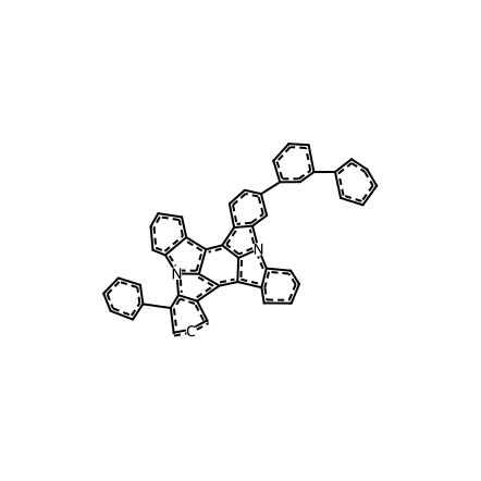 c1ccc(-c2cccc(-c3ccc4c5c6c7ccccc7n7c8c(-c9ccccc9)cccc8c(c8c9ccccc9n(c4c3)c58)c67)c2)cc1